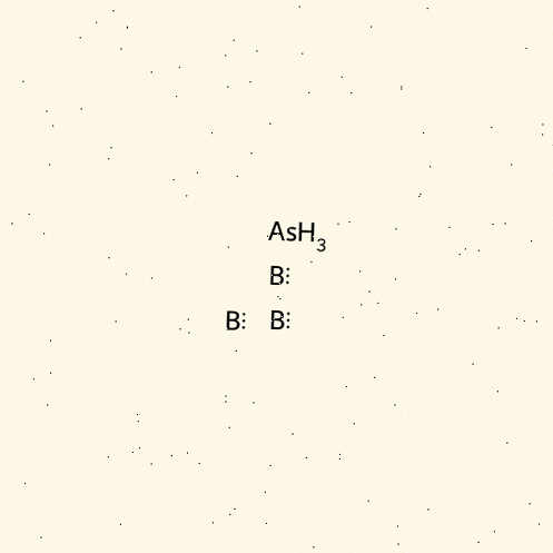 [AsH3].[B].[B].[B]